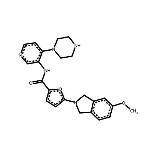 COc1ccc2c(c1)CN(c1ccc(C(=O)Nc3cnccc3N3CCNCC3)o1)C2